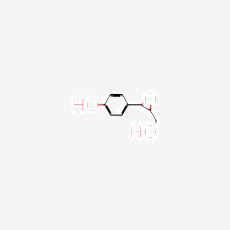 OCC1OC1c1ccc(O)cc1